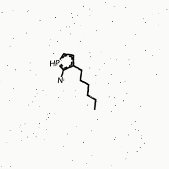 CCCCCCc1cc[pH]c1[N]